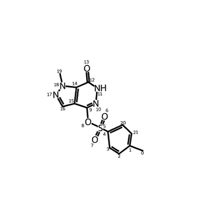 Cc1ccc(S(=O)(=O)Oc2n[nH]c(=O)c3c2cnn3C)cc1